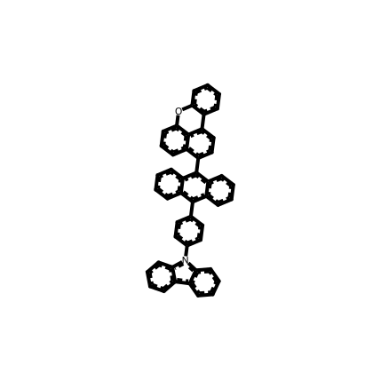 c1ccc2c(c1)Oc1cccc3c(-c4c5ccccc5c(-c5ccc(-n6c7ccccc7c7ccccc76)cc5)c5ccccc45)ccc-2c13